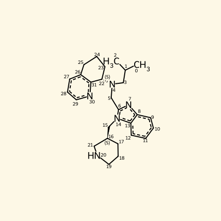 CC(C)CN(Cc1nc2ccccc2n1C[C@H]1CCCNC1)[C@H]1CCCc2cccnc21